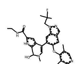 CCNC(=O)c1cc2c([nH]1)C(O)N(C)C=C2c1cc2c(cnn2CC(C)(C)F)cc1Oc1c(C)cncc1C